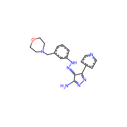 NC1=NN=C(c2ccncc2)/C1=N\Nc1cccc(CN2CCOCC2)c1